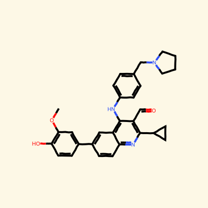 COc1cc(-c2ccc3nc(C4CC4)c(C=O)c(Nc4ccc(CN5CCCC5)cc4)c3c2)ccc1O